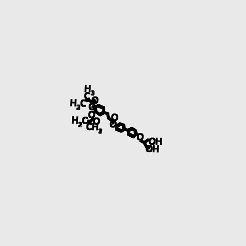 C=C(C)C(=O)Oc1ccc(CCC(=O)Oc2ccc(-c3ccc(OCC(CO)CO)cc3)cc2)cc1OC(=O)C(=C)C